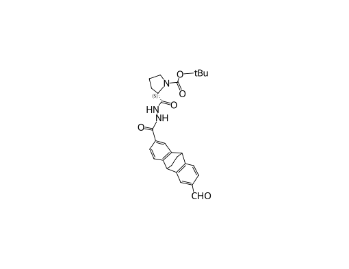 CC(C)(C)OC(=O)N1CCC[C@H]1C(=O)NNC(=O)c1ccc2c(c1)C1CCC2c2cc(C=O)ccc21